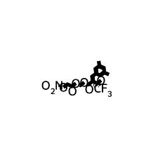 Cc1cc(C)c2c(c1)C=C(C(=O)OCOC(=O)CO[N+](=O)[O-])[C@@H](C(F)(F)F)O2